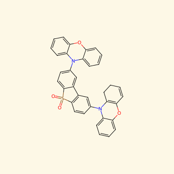 O=S1(=O)c2ccc(N3C4=C(C=CCC4)Oc4ccccc43)cc2-c2cc(N3c4ccccc4Oc4ccccc43)ccc21